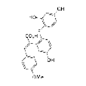 COc1ccc(C=C(C(=O)O)c2cc(O)ccc2Sc2ccc(O)cc2O)cc1